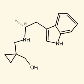 C[C@H](Cc1c[nH]c2ccccc12)NCC1(CO)CC1